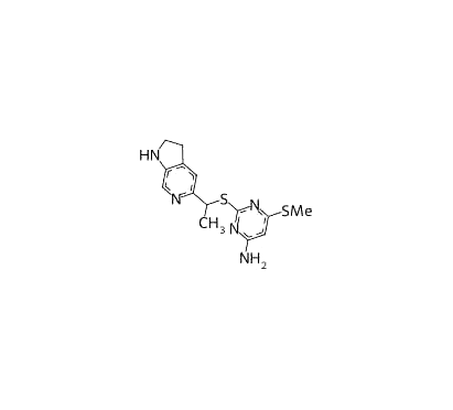 CSc1cc(N)nc(SC(C)c2cc3c(cn2)NCC3)n1